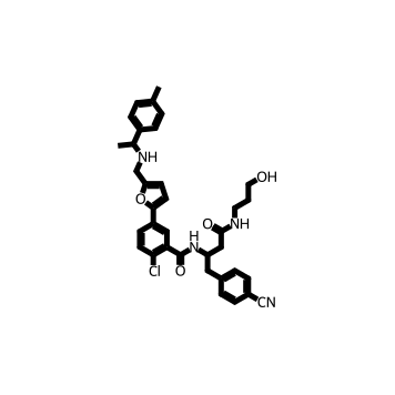 Cc1ccc(C(C)NCc2ccc(-c3ccc(Cl)c(C(=O)NC(CC(=O)NCCCO)Cc4ccc(C#N)cc4)c3)o2)cc1